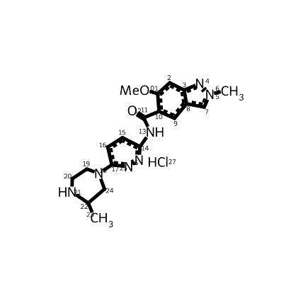 COc1cc2nn(C)cc2cc1C(=O)Nc1ccc(N2CCNC(C)C2)nn1.Cl